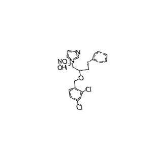 Clc1ccc(COC(CCc2ccccc2)Cn2ccnc2)c(Cl)c1.O=[N+]([O-])O